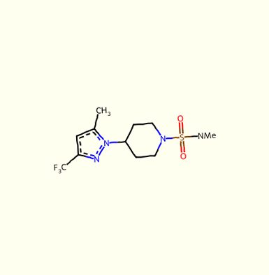 CNS(=O)(=O)N1CCC(n2nc(C(F)(F)F)cc2C)CC1